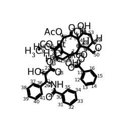 CC(=O)O[C@H]1C(=O)[C@@]2(C)[C@H]([C@H](OC(=O)c3ccccc3)[C@]3(O)C[C@H](OC(=O)[C@H](O)[C@@H](NC(=O)c4ccccc4)c4ccccc4)C(C)=C1C3(C)C)[C@]1(OC(C)=O)CO[C@@H]1C[C@@H]2O.CCOC(C)=O